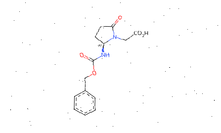 O=C(O)CN1C(=O)CC[C@@H]1NC(=O)OCc1ccccc1